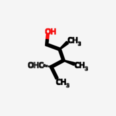 C[C@@H]([C@H](C)C=O)[C@H](C)CO